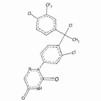 CC(Cl)(c1ccc(Cl)c(C(F)(F)F)c1)c1ccc(-n2ncc(=O)[nH]c2=O)cc1Cl